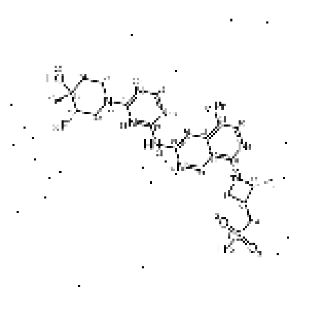 CCS(=O)(=O)C[C@H]1CN(c2ncc(C(C)C)c3cc(Nc4ncnc(N5CC[C@@](C)(O)[C@@H](F)C5)n4)ncc23)[C@@H]1C